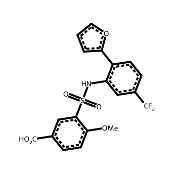 COc1ccc(C(=O)O)cc1S(=O)(=O)Nc1cc(C(F)(F)F)ccc1-c1ccco1